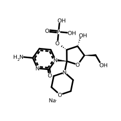 Nc1ccn([C@]2(N3CCOCC3)O[C@H](CO)[C@@H](O)[C@H]2OP(=O)(O)O)c(=O)n1.[Na]